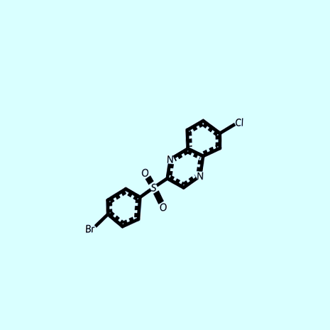 O=S(=O)(c1ccc(Br)cc1)c1cnc2cc(Cl)ccc2n1